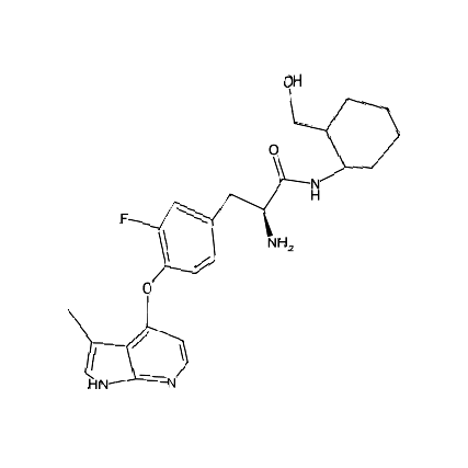 Cc1c[nH]c2nccc(Oc3ccc(C[C@H](N)C(=O)NC4CCCCC4CO)cc3F)c12